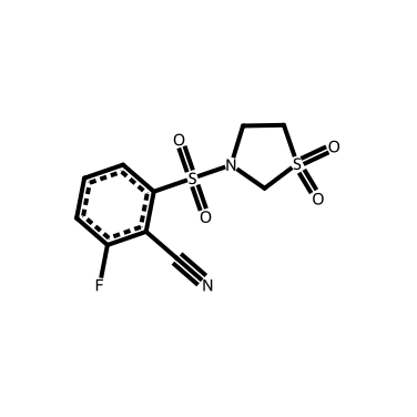 N#Cc1c(F)cccc1S(=O)(=O)N1CCS(=O)(=O)C1